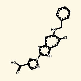 O=C(O)c1cnn(-c2nc3cc(NCc4ccccc4)c(Cl)cc3[nH]2)c1